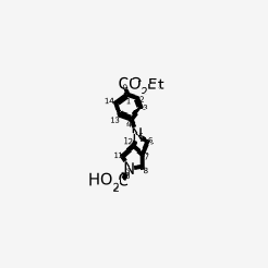 CCOC(=O)c1ccc(N2CC3CN(C(=O)O)CC32)cc1